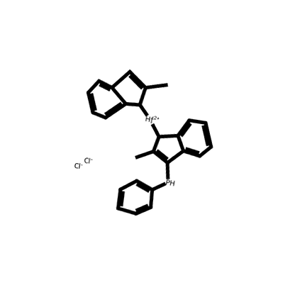 CC1=Cc2ccccc2[CH]1[Hf+2][CH]1C(C)=C(Pc2ccccc2)c2ccccc21.[Cl-].[Cl-]